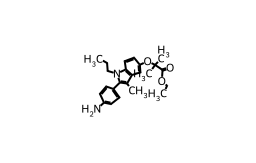 CCCn1c(-c2ccc(N)cc2)c(C)c2cc(OC(C)(C)C(=O)OCC)ccc21